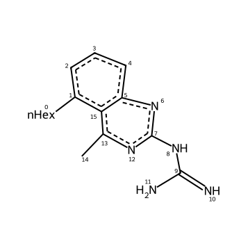 CCCCCCc1cccc2nc(NC(=N)N)nc(C)c12